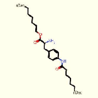 CCCCCCCCCCCCCCCCOC(=O)[C@@H](N)Cc1ccc(NC(=O)CCCCCCCCCCCCCCC)cc1